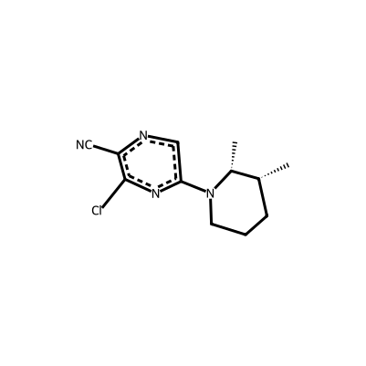 C[C@@H]1CCCN(c2cnc(C#N)c(Cl)n2)[C@@H]1C